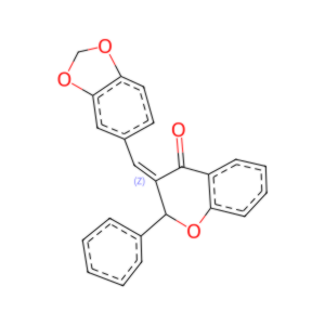 O=C1/C(=C\c2ccc3c(c2)OCO3)C(c2ccccc2)Oc2ccccc21